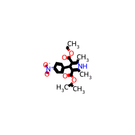 CCOC(=O)C1=C(C)NC(C)=C(C(=O)OC(C)C)C1c1ccc([N+](=O)[O-])cc1